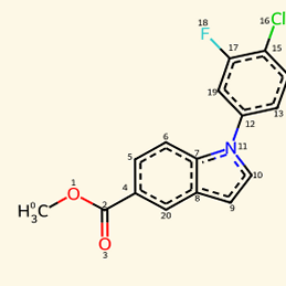 COC(=O)c1ccc2c(ccn2-c2ccc(Cl)c(F)c2)c1